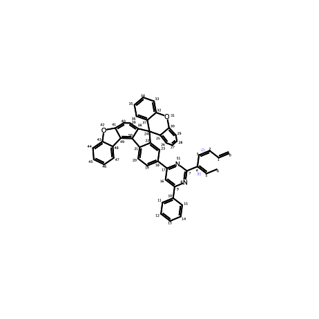 C=C/C=C\C(=C/C)c1nc(-c2ccccc2)cc(-c2ccc3c(c2)C2(c4ccccc4Oc4ccccc42)c2ccc4oc5ccccc5c4c2-3)n1